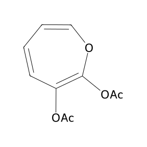 CC(=O)OC1=C(OC(C)=O)OC=CC=C1